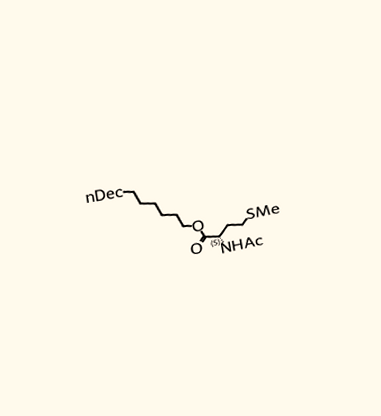 CCCCCCCCCCCCCCCCOC(=O)[C@H](CCSC)NC(C)=O